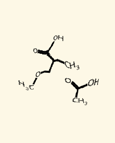 CC(=O)O.COCC(C)C(=O)O